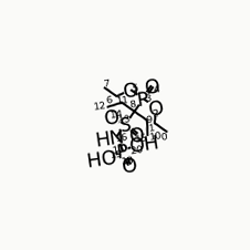 CCOP(=O)(OCC)C(CC)(CC)S(=O)(=O)NP(=O)(O)O